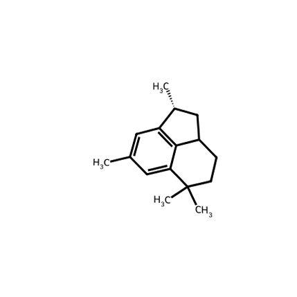 Cc1cc2c3c(c1)C(C)(C)CCC3C[C@H]2C